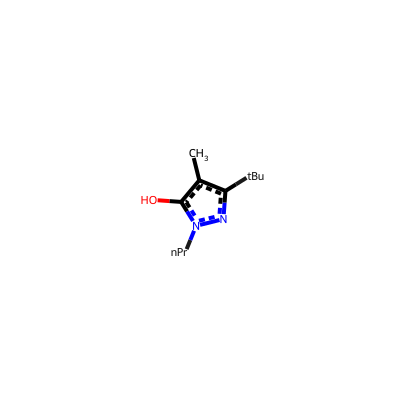 CCCn1nc(C(C)(C)C)c(C)c1O